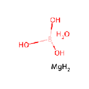 O.OB(O)O.[MgH2]